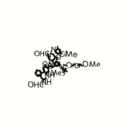 C=C1/C=C\C=C/N(C=O)[C@H](/C=N\c2cc(OCc3cc(COc4cc5c(cc4OC)-c4ccccc4C[C@H](NC=O)CN5)cc(N(CCOCCOCCOC)CC(C)(C)SC)c3)c(OC)cc2C)C1